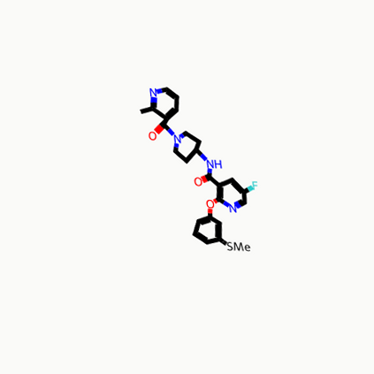 CSc1cccc(Oc2ncc(F)cc2C(=O)NC2CCN(C(=O)c3cccnc3C)CC2)c1